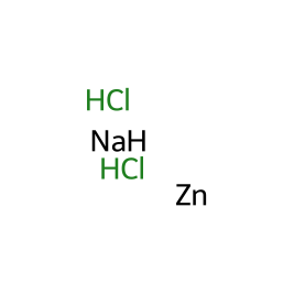 Cl.Cl.[NaH].[Zn]